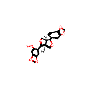 Oc1cc2c(cc1C1OC[C@H]3C(c4ccc5c(c4)OCO5)OC[C@@H]13)OCO2